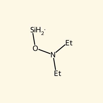 CCN(CC)O[SiH2]